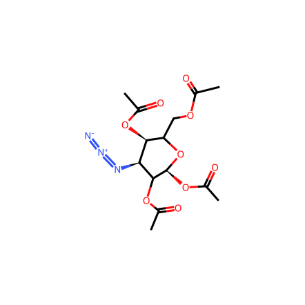 CC(=O)OCC1O[C@@H](OC(C)=O)C(OC(C)=O)[C@@H](N=[N+]=[N-])[C@H]1OC(C)=O